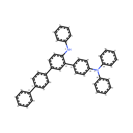 c1ccc(Nc2ccc(-c3ccc(-c4ccccc4)cc3)cc2-c2ccc(N(c3ccccc3)c3ccccc3)cc2)cc1